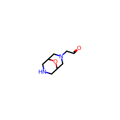 O=CCN1CC2CNCC(C1)O2